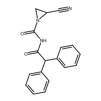 N#CC1CN1C(=O)NC(=O)C(c1ccccc1)c1ccccc1